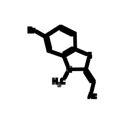 CC(=O)C=C1Sc2ccc(Br)cc2N1C